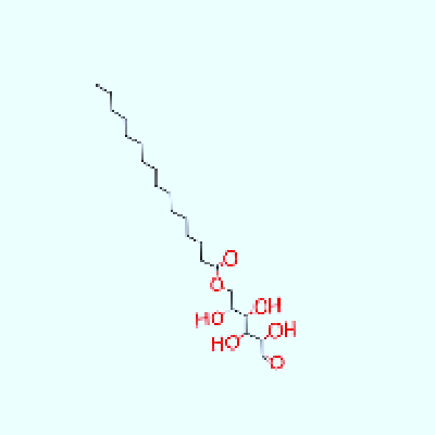 CCCCCCCCCCCCCCCC(=O)OC[C@@H](O)[C@@H](O)[C@H](O)[C@@H](O)C=O